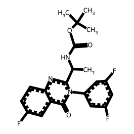 CC(NC(=O)OC(C)(C)C)c1nc2ccc(F)cc2c(=O)n1-c1cc(F)cc(F)c1